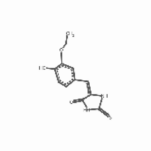 CCOc1cc(C=C2NC(=S)NC2=O)ccc1O